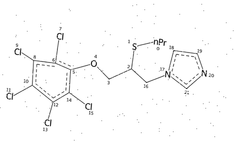 CCCSC(COc1c(Cl)c(Cl)c(Cl)c(Cl)c1Cl)Cn1ccnc1